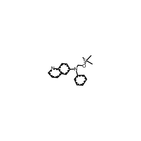 C[Si](C)(C)OCN(c1ccccc1)c1ccc2ncccc2c1